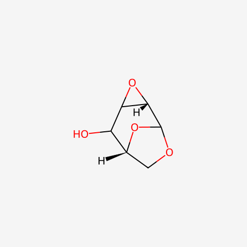 OC1C2O[C@@H]2C2OC[C@H]1O2